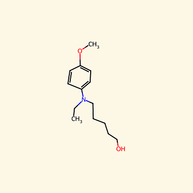 CCN(CCCCCO)c1ccc(OC)cc1